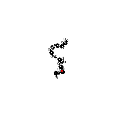 N#Cc1cccc2[nH]c(-c3ccccc3OC3(C(F)(F)F)CCN(C(=O)[C@H]4CC(=O)Nc5ccc(OCCNC(=O)C6CCC(C(=O)N7CCN(CC8CCN(c9cncc(C%10CCC(=O)NC%10=O)c9)CC8)CC7)CC6)cc54)CC3)cc12